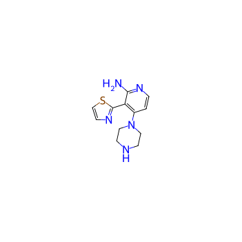 Nc1nccc(N2CCNCC2)c1-c1nccs1